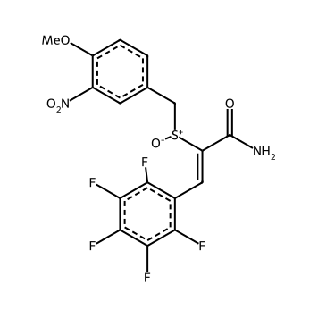 COc1ccc(C[S+]([O-])/C(=C\c2c(F)c(F)c(F)c(F)c2F)C(N)=O)cc1[N+](=O)[O-]